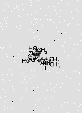 CNC(C)C[C@@H]1C[C@H](SC2=C(OC(=O)O)N3C(=O)[C@H]([C@@H](C)O)[C@H]3C2)CN1